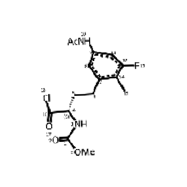 COC(=O)N[C@@H](CCc1cc(NC(C)=O)cc(F)c1C)C(=O)Cl